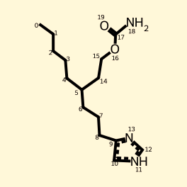 CCCCCC(CCCc1c[nH]cn1)CCOC(N)=O